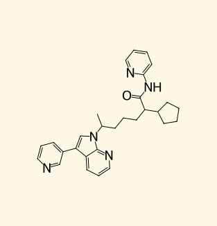 CC(CCCC(C(=O)Nc1ccccn1)C1CCCC1)n1cc(-c2cccnc2)c2cccnc21